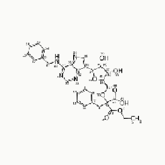 CCOC(=O)C(Cc1ccccc1)(OC[C@H]1OC(c2cnc3c(NCc4ccccc4)ncnn23)[C@H](O)[C@@H]1O)C(=O)O